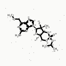 COCc1nc(N)nc2c1ncn2[C@@H]1O[C@]2(F)COP(=O)(OC(C)C)OC2[C@@]1(C)F